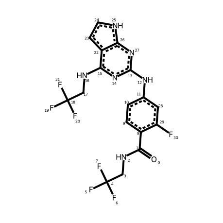 O=C(NCC(F)(F)F)c1ccc(Nc2nc(NCC(F)(F)F)c3cc[nH]c3n2)cc1F